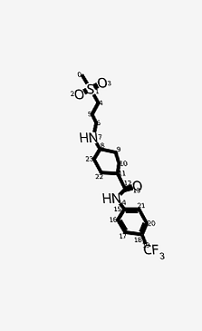 CS(=O)(=O)CCCNC1CCC(C(=O)Nc2ccc(C(F)(F)F)cc2)CC1